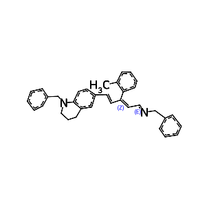 Cc1ccccc1/C(C=Cc1ccc2c(c1)CCCN2Cc1ccccc1)=C\C=N\Cc1ccccc1